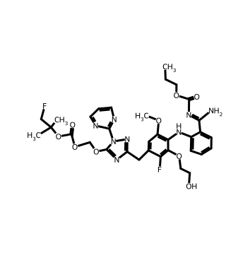 CCCOC(=O)N=C(N)c1ccccc1Nc1c(OC)cc(Cc2nc(OCOC(=O)OC(C)(C)CF)n(-c3ncccn3)n2)c(F)c1OCCO